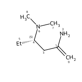 C=C(N)C[C@H](CC)N(C)C